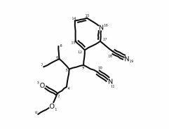 COC(=O)CC(C(C)C)C(C#N)c1cccnc1C#N